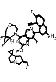 C#Cc1c(F)ccc2cc(N)cc(-c3ncc4c(N5CCOC[C@H]6[C@H](F)[C@H]65)nc(OC[C@]56C/C(=C/F)CN5CCC65CC5)nc4c3F)c12